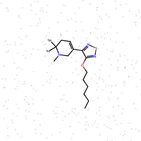 [2H]C1([2H])CC=C(c2nsnc2OCCCCCC)CN1C